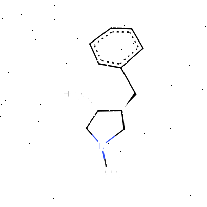 O=C(O)[C@H]1CN(C(=O)O)C[C@@H]1Cc1ccccc1